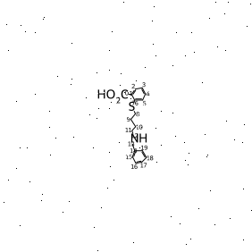 O=C(O)c1ccccc1SCCCCNCc1ccccc1